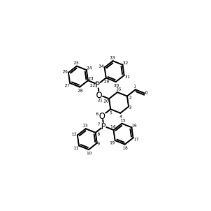 C=CC1CCC(OP(c2ccccc2)c2ccccc2)C(OP(c2ccccc2)c2ccccc2)C1